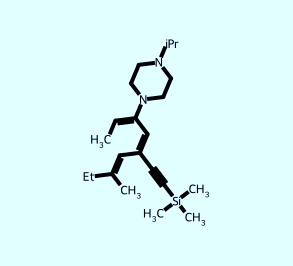 C\C=C(/C=C(C#C[Si](C)(C)C)\C=C(/C)CC)N1CCN(C(C)C)CC1